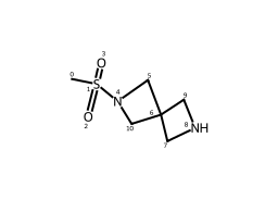 CS(=O)(=O)N1CC2(CNC2)C1